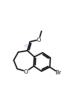 CO/C=C1/CCCOc2cc(Br)ccc21